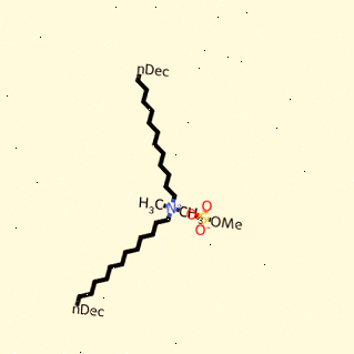 CCCCCCCCCCCCCCCCCCCCCC[N+](C)(C)CCCCCCCCCCCCCCCCCCCCCC.COS(=O)(=O)[O-]